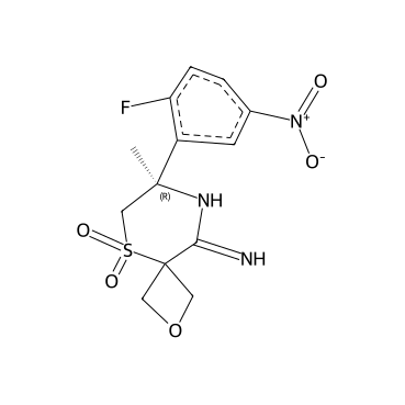 C[C@@]1(c2cc([N+](=O)[O-])ccc2F)CS(=O)(=O)C2(COC2)C(=N)N1